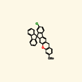 COc1ccc2c(c1)Oc1cc3c(cc1C2)-c1ccc(Cl)cc1[Si]31c2ccccc2-c2ccccc21